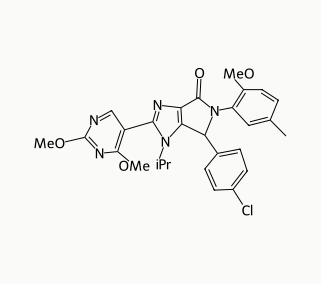 COc1ncc(-c2nc3c(n2C(C)C)C(c2ccc(Cl)cc2)N(c2cc(C)ccc2OC)C3=O)c(OC)n1